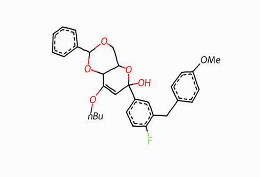 CCCCOC1=CC(O)(c2ccc(F)c(Cc3ccc(OC)cc3)c2)OC2COC(c3ccccc3)OC12